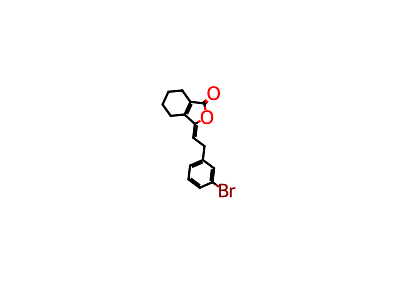 O=C1OC(=CCc2cccc(Br)c2)C2=C1CCCC2